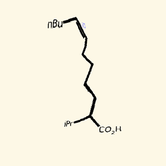 CCCC/C=C\CCCCC(C(=O)O)C(C)C